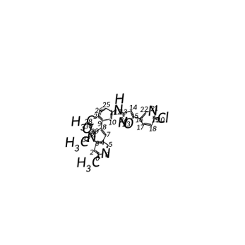 Cc1cc2c(cn1)cc(-c1cc(Nc3cc(-c4ccc(Cl)nc4)on3)ccc1C)c(=O)n2C